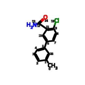 Cc1cccc(-c2ccc(Cl)c(C(N)=O)c2)c1